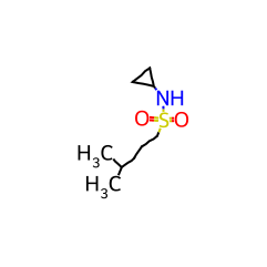 CC(C)CCCS(=O)(=O)NC1CC1